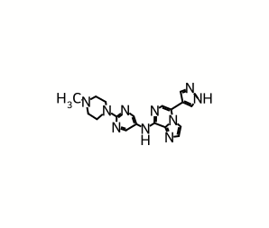 CN1CCN(c2ncc(Nc3ncc(-c4cn[nH]c4)n4ccnc34)cn2)CC1